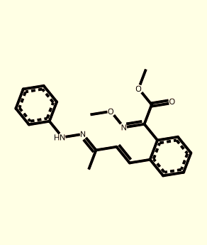 CON=C(C(=O)OC)c1ccccc1C=C/C(C)=N/Nc1ccccc1